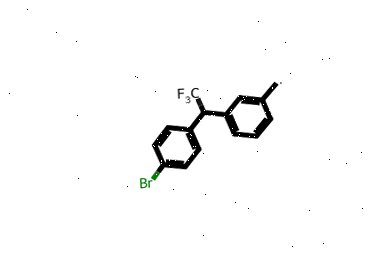 [CH2]c1cccc([C](c2ccc(Br)cc2)C(F)(F)F)c1